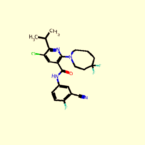 CC(C)c1nc(N2CCCC(F)(F)CC2)c(C(=O)Nc2ccc(F)c(C#N)c2)cc1Cl